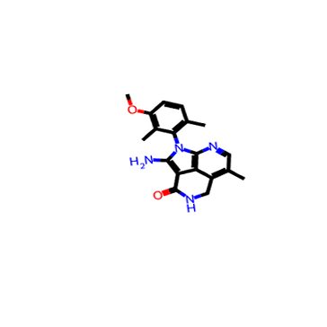 COc1ccc(C)c(-n2c(N)c3c4c(c(C)cnc42)CNC3=O)c1C